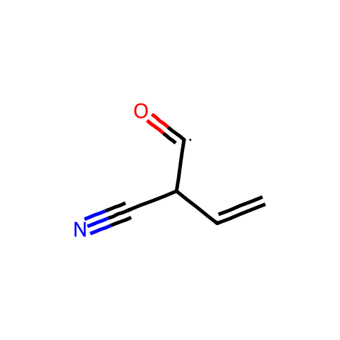 C=CC([C]=O)C#N